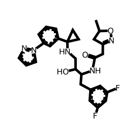 CC1CC(CC(=O)NC(Cc2cc(F)cc(F)c2)C(O)CNC2(c3cccc(-n4cccn4)c3)CC2)=NO1